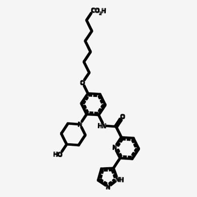 O=C(O)CCCCCCOc1ccc(NC(=O)c2cccc(-c3ccn[nH]3)n2)c(N2CCC(O)CC2)c1